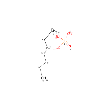 CCCC[C@H](CC)OP(=O)(O)O